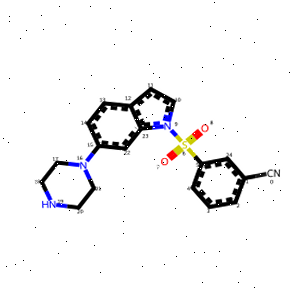 N#Cc1cccc(S(=O)(=O)n2ccc3ccc(N4CCNCC4)cc32)c1